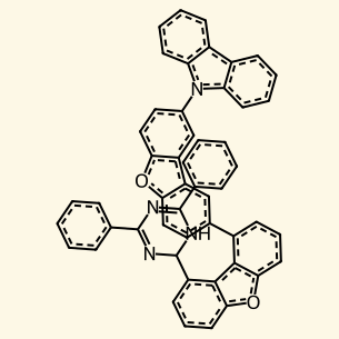 c1ccc(C2=NC(c3cccc4oc5cccc(-c6ccc7oc8ccc(-n9c%10ccccc%10c%10ccccc%109)cc8c7c6)c5c34)NC(c3ccccc3)=N2)cc1